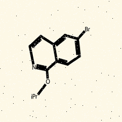 CC(C)Oc1nccc2cc(Br)ccc12